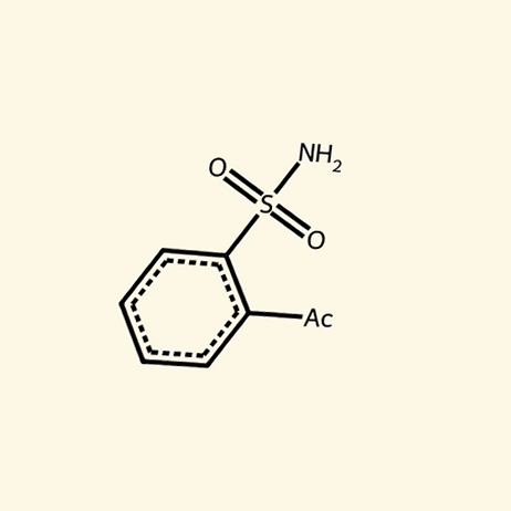 CC(=O)c1ccccc1S(N)(=O)=O